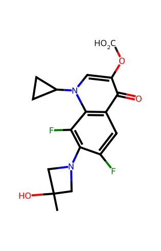 CC1(O)CN(c2c(F)cc3c(=O)c(OC(=O)O)cn(C4CC4)c3c2F)C1